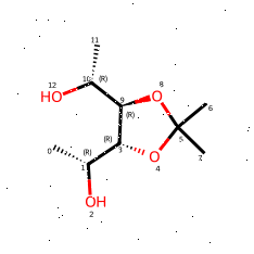 C[C@@H](O)[C@H]1OC(C)(C)O[C@@H]1[C@@H](C)O